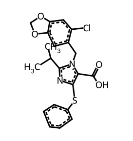 CC(C)c1nc(Sc2ccccc2)c(C(=O)O)n1Cc1cc2c(cc1Cl)OCO2